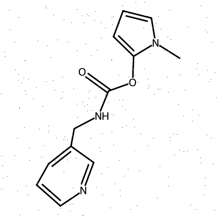 Cn1cccc1OC(=O)NCc1cccnc1